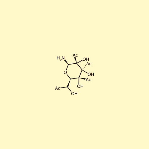 CC(=O)C(O)[C@H]1O[C@@H](N)[C@@](O)(C(C)=O)[C@](O)(C(C)=O)[C@@]1(O)C(C)=O